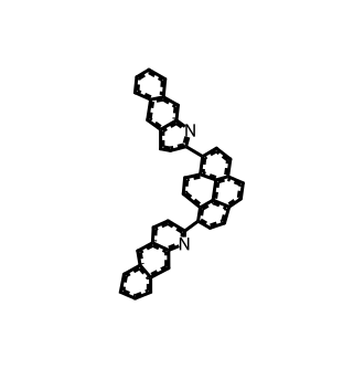 c1ccc2cc3nc(-c4ccc5ccc6ccc(-c7ccc8cc9ccccc9cc8n7)c7ccc4c5c67)ccc3cc2c1